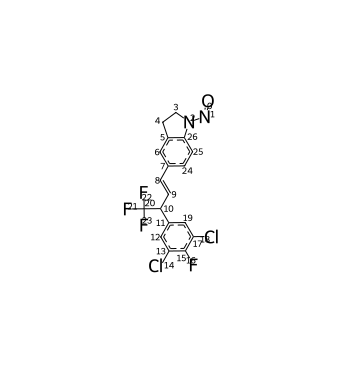 O=NN1CCc2cc(/C=C/C(c3cc(Cl)c(F)c(Cl)c3)C(F)(F)F)ccc21